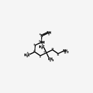 CC(CNN=N)CC(C)(C)CCN